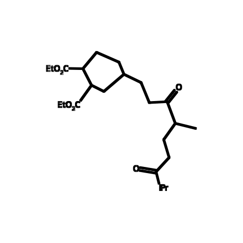 CCOC(=O)C1CCC(CCC(=O)C(C)CCC(=O)C(C)C)CC1C(=O)OCC